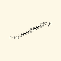 CCCCCC=CCC=CCCCCCCCCCCCCCCCC(=O)O